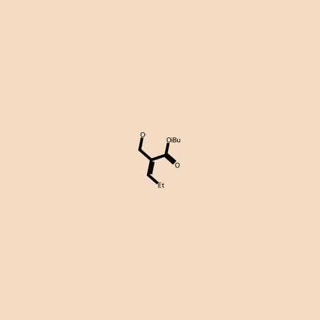 CCC=C(C[O])C(=O)OCC(C)C